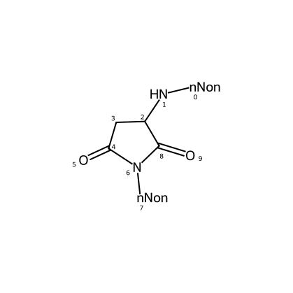 CCCCCCCCCNC1CC(=O)N(CCCCCCCCC)C1=O